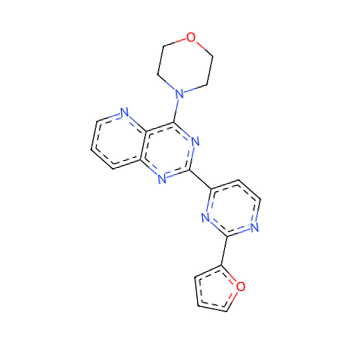 c1coc(-c2nccc(-c3nc(N4CCOCC4)c4ncccc4n3)n2)c1